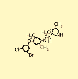 Cc1cc(Oc2cc(Cl)cc(Br)c2)c(C)cc1/N=C/NC1(C)CNCC(C)O1